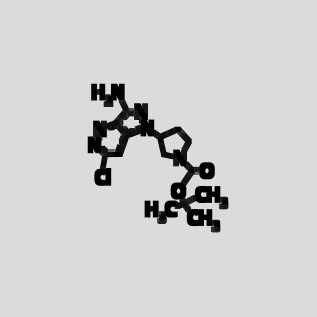 CC(C)(C)OC(=O)N1CCC(n2nc(N)c3nnc(Cl)cc32)C1